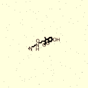 Cc1c(CCC(=O)NCCCN(C)C)c(=O)oc2cc(O)ccc12